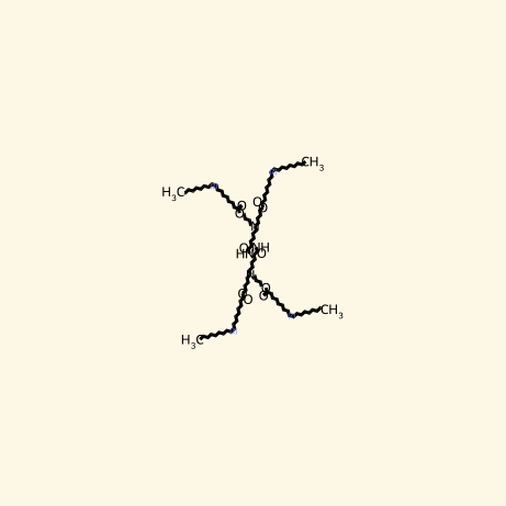 CCCCCCCC/C=C\CCCCCCCC(=O)OCCCCN(CCCCOC(=O)CCCCCCC/C=C\CCCCCCCC)CCCCC1NC(=O)C(CCCCN(CCCCOC(=O)CCCCCCC/C=C\CCCCCCCC)CCCCOC(=O)CCCCCCC/C=C\CCCCCCCC)NC1=O